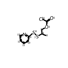 CC(COC(=O)Cl)SSc1ccccn1